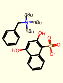 CCCC[N+](CCCC)(CCCC)Cc1ccccc1.O=S(=O)([O-])c1c(O)cc(O)c2ccccc12